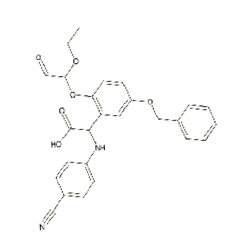 CCOC(C=O)Oc1ccc(OCc2ccccc2)cc1C(Nc1ccc(C#N)cc1)C(=O)O